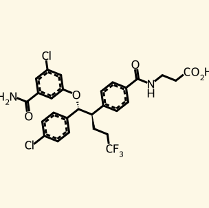 NC(=O)c1cc(Cl)cc(O[C@@H](c2ccc(Cl)cc2)[C@H](CCC(F)(F)F)c2ccc(C(=O)NCCC(=O)O)cc2)c1